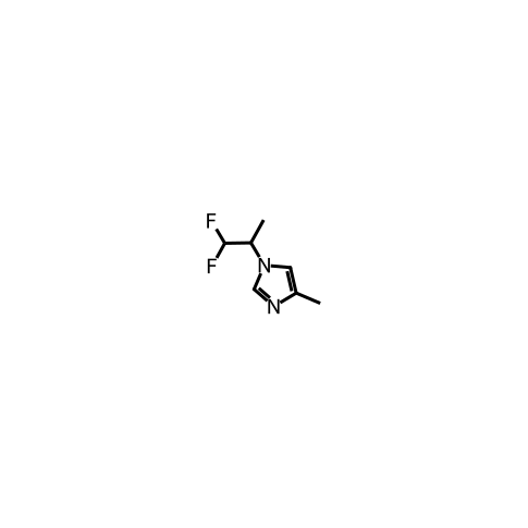 Cc1cn(C(C)C(F)F)cn1